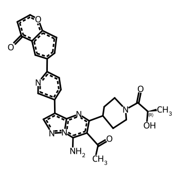 CC(=O)c1c(C2CCN(C(=O)[C@@H](C)O)CC2)nc2c(-c3ccc(-c4ccc5occc(=O)c5c4)nc3)cnn2c1N